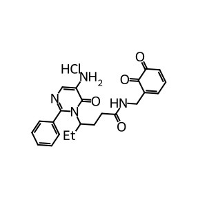 CCC(CCC(=O)NCC1=CC=CC(=O)C1=O)n1c(-c2ccccc2)ncc(N)c1=O.Cl